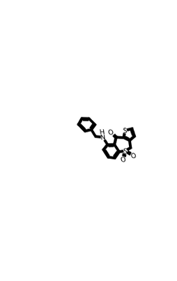 O=C1c2sccc2CS(=O)(=O)c2cccc(NCc3ccccc3)c21